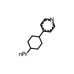 CCCC1CCC(c2ccncc2)CC1